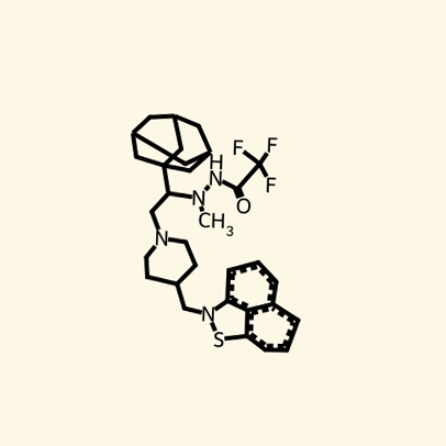 CN(NC(=O)C(F)(F)F)C(CN1CCC(CN2Sc3cccc4cccc2c34)CC1)C12CC3CC(CC(C3)C1)C2